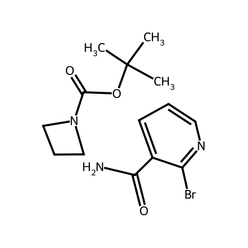 CC(C)(C)OC(=O)N1CCC1.NC(=O)c1cccnc1Br